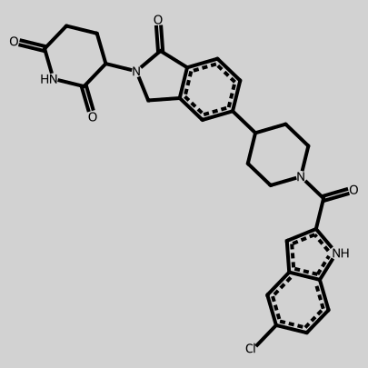 O=C1CCC(N2Cc3cc(C4CCN(C(=O)c5cc6cc(Cl)ccc6[nH]5)CC4)ccc3C2=O)C(=O)N1